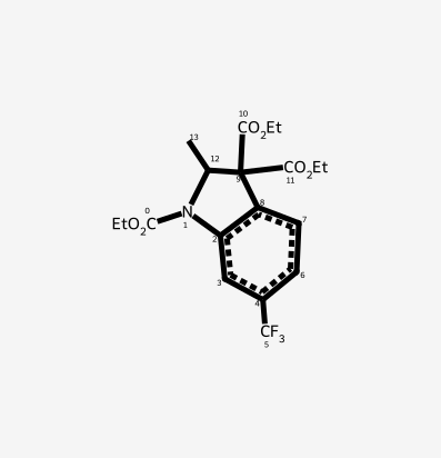 CCOC(=O)N1c2cc(C(F)(F)F)ccc2C(C(=O)OCC)(C(=O)OCC)C1C